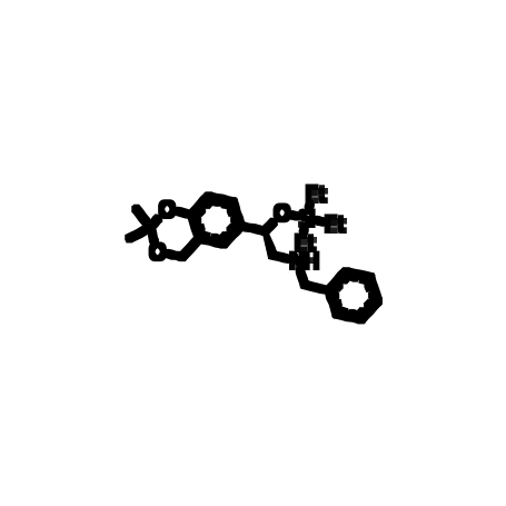 CC[Si](CC)(CC)O[C@@H](CNCc1ccccc1)c1ccc2c(c1)COC(C)(C)O2